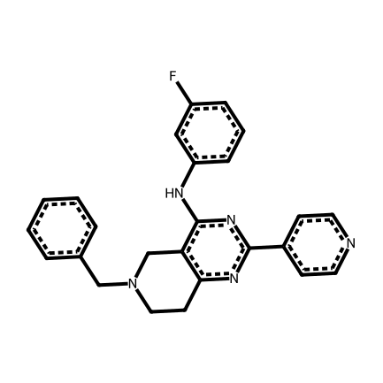 Fc1cccc(Nc2nc(-c3ccncc3)nc3c2CN(Cc2ccccc2)CC3)c1